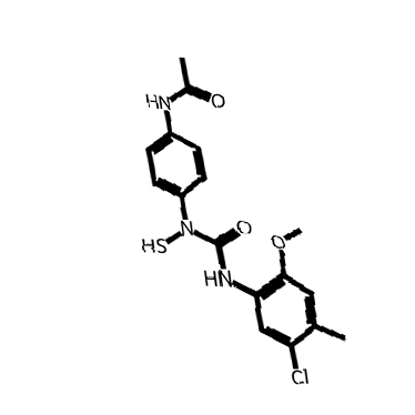 COc1cc(C)c(Cl)cc1NC(=O)N(S)c1ccc(NC(C)=O)cc1